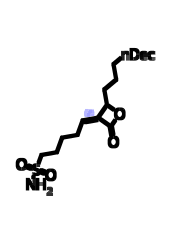 CCCCCCCCCCCCCC1OC(=O)/C1=C\CCCCS(N)(=O)=O